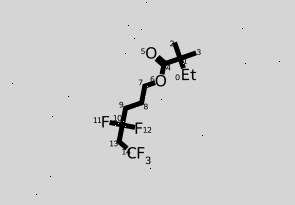 CCC(C)(C)C(=O)OCCCC(F)(F)CC(F)(F)F